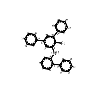 Fc1c(Nc2ccccc2-c2ccccc2)cc(-c2ccccc2)cc1-c1ccccc1